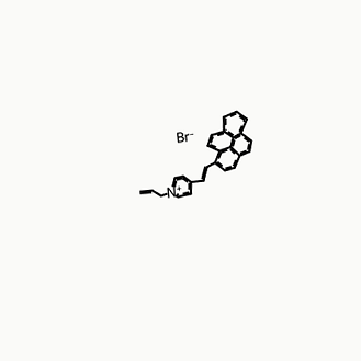 C=CC[n+]1ccc(/C=C/c2ccc3ccc4cccc5ccc2c3c45)cc1.[Br-]